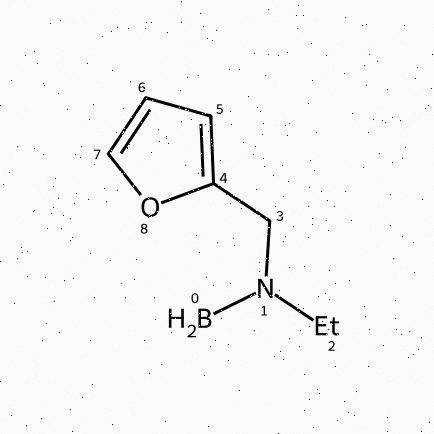 BN(CC)Cc1ccco1